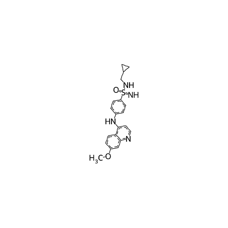 COc1ccc2c(Nc3ccc(S(=N)(=O)NCC4CC4)cc3)ccnc2c1